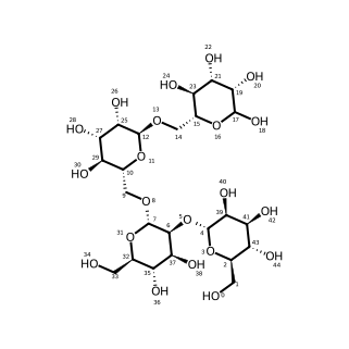 OC[C@H]1O[C@H](O[C@@H]2[C@@H](OC[C@H]3O[C@H](OC[C@H]4OC(O)[C@@H](O)[C@@H](O)[C@@H]4O)[C@@H](O)[C@@H](O)[C@@H]3O)O[C@H](CO)[C@@H](O)[C@@H]2O)[C@@H](O)[C@@H](O)[C@@H]1O